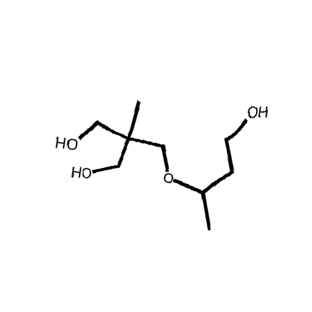 CC(CCO)OCC(C)(CO)CO